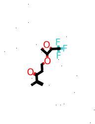 C=C(C)C(=O)CCOC1COC1C(F)(F)F